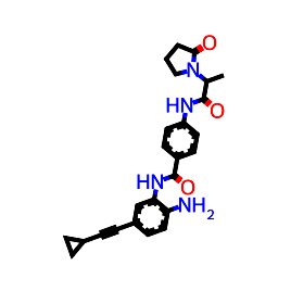 CC(C(=O)Nc1ccc(C(=O)Nc2cc(C#CC3CC3)ccc2N)cc1)N1CCCC1=O